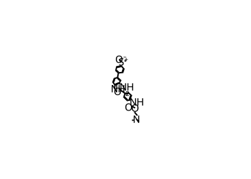 CN(C)CCOC(=O)Nc1ccc(C(=O)Nc2cc(-c3ccc([S+](C)[O-])cc3)ccc2N)cc1